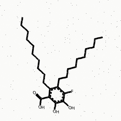 CCCCCCCCCCc1c(F)c(O)c(O)c(C(=O)O)c1CCCCCCCCCC